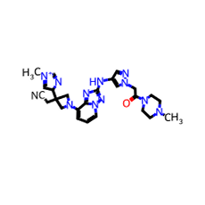 CN1CCN(C(=O)Cn2cc(Nc3nc4c(N5CC(CC#N)(C6C=[N+](C)C=N6)C5)cccn4n3)cn2)CC1